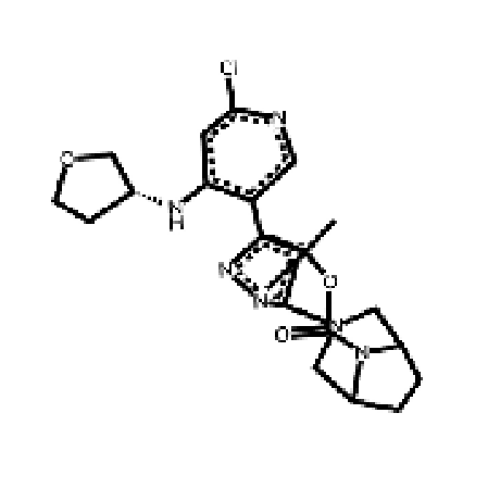 CC(C)(C)OC(=O)N1C2CCC1CN(c1nnc(-c3cnc(Cl)cc3N[C@@H]3CCOC3)s1)C2